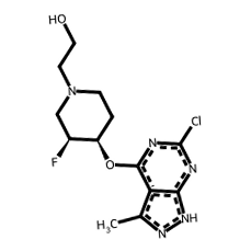 Cc1n[nH]c2nc(Cl)nc(O[C@@H]3CCN(CCO)C[C@@H]3F)c12